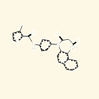 Cc1ccsc1C(=O)Nc1ccc(N2C(=O)CC(=O)Nc3c2ccc2ccccc32)cc1